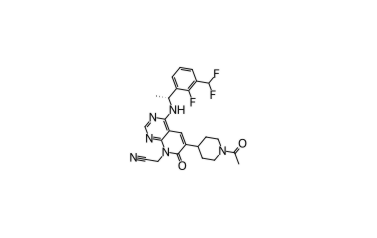 CC(=O)N1CCC(c2cc3c(N[C@H](C)c4cccc(C(F)F)c4F)ncnc3n(CC#N)c2=O)CC1